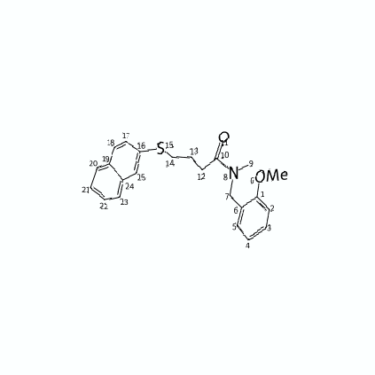 COc1ccccc1CN(C)C(=O)CCCSc1ccc2ccccc2c1